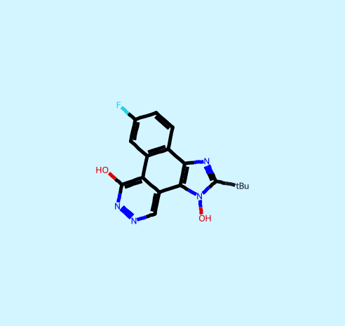 CC(C)(C)c1nc2c3ccc(F)cc3c3c(O)nncc3c2n1O